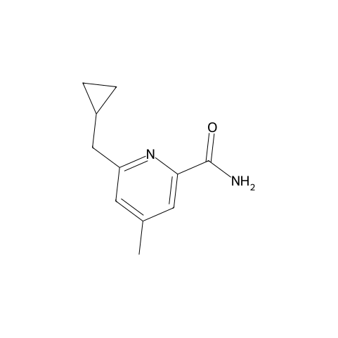 Cc1cc(CC2CC2)nc(C(N)=O)c1